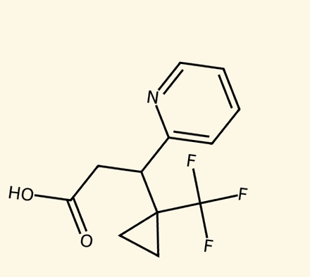 O=C(O)CC(c1ccccn1)C1(C(F)(F)F)CC1